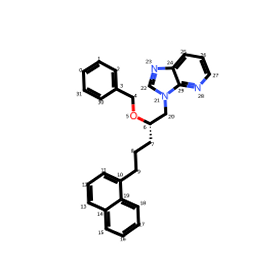 c1ccc(CO[C@@H](CCCc2cccc3ccccc23)Cn2cnc3cccnc32)cc1